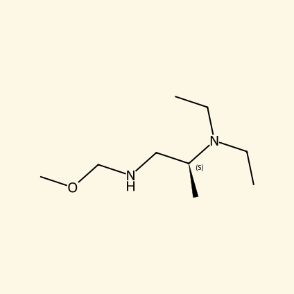 CCN(CC)[C@@H](C)CNCOC